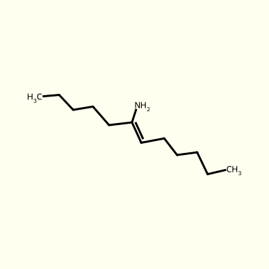 CCCCCC=C(N)CCCCC